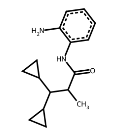 CC(C(=O)Nc1ccccc1N)C(C1CC1)C1CC1